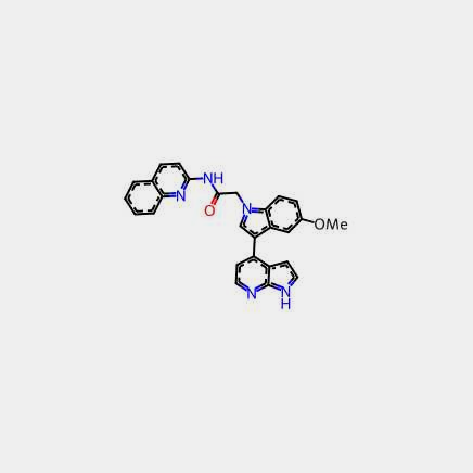 COc1ccc2c(c1)c(-c1ccnc3[nH]ccc13)cn2CC(=O)Nc1ccc2ccccc2n1